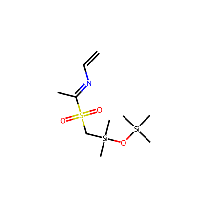 C=C/N=C(\C)S(=O)(=O)C[Si](C)(C)O[Si](C)(C)C